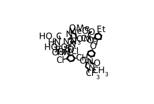 CCc1ccc(COc2ccc(-n3c(=O)cc(C(F)(F)F)n(C)c3=O)cc2)c(OC(C)C(=O)OC)c1.COc1cc(OC)n2nc(S(=O)(=O)Nc3c(Cl)ccc(C)c3Cl)nc2n1.O=C(O)CNCP(=O)(O)O